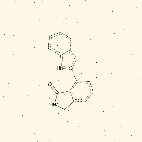 O=C1NCc2cccc(-c3cc4ccccc4[nH]3)c21